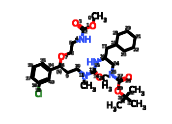 COC(=O)NCCO[C@@H](CCN(C)C(=O)NC(CC1CCCCC1)CN(C)C(=O)OC(C)(C)C)c1cccc(Cl)c1